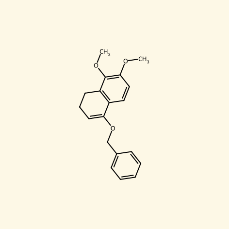 COc1ccc2c(c1OC)CCC=C2OCc1ccccc1